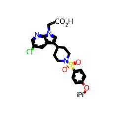 CC(C)Oc1ccc(S(=O)(=O)N2CCC(c3cn(CC(=O)O)c4ncc(Cl)cc34)CC2)cc1